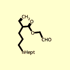 C=CC(CCCCCCCCCC)C(=O)OCC=O